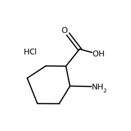 Cl.NC1CCCCC1C(=O)O